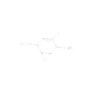 CC(=O)OC1C=C(I)C(C)C2OC12